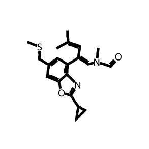 CSCc1cc(/C(C=C(C)C)=C/N(C)C=O)c2nc(C3CC3)oc2c1